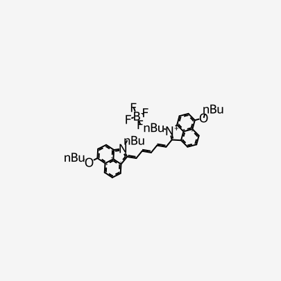 CCCCOc1ccc2c3c(cccc13)C(C=CC=CC=c1c3cccc4c(OCCCC)ccc(c43)n1CCCC)=[N+]2CCCC.F[B-](F)(F)F